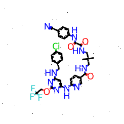 CC(C)(CNC(=O)C(=O)Nc1ccc(C#N)cc1)CNC(=O)c1ccc(Nc2cc(NCc3ccc(Cl)cc3)nc(OCC(F)(F)F)n2)nc1